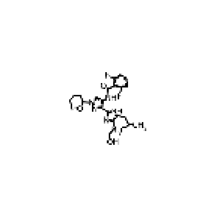 CC(C)Cc1[nH]c(-c2nn(C3CCCCO3)cc2NC(=O)c2c(F)cccc2F)nc1CCO